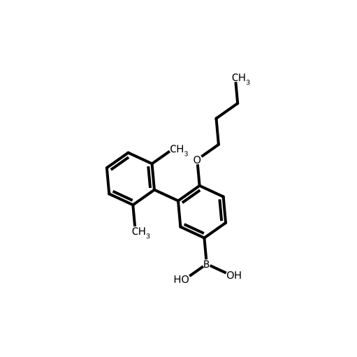 CCCCOc1ccc(B(O)O)cc1-c1c(C)cccc1C